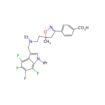 CCN(CCC1(C)CC(c2ccc(C(=O)O)cc2)=NO1)Cc1cn(C(C)C)c2c(F)c(F)c(F)c(F)c12